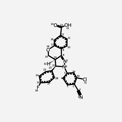 N#Cc1ccc(N2N=C3c4ccc(C(=O)O)cc4OC[C@@H]3[C@@H]2c2ccc(F)cc2)cc1Cl